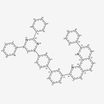 c1ccc(-c2cc(-c3ccc(-c4cccc(-c5ccc6ccc7ccc(-c8ccccc8)nc7c6n5)c4)cc3)nc(-c3ccccc3)n2)cc1